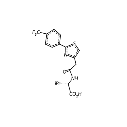 CC(C)[C@H](NC(=O)Cc1csc(-c2ccc(C(F)(F)F)cc2)n1)C(=O)O